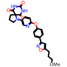 COCCCc1cc(-c2ccc(Oc3ccc(N4CCCC45C(=O)NC(=O)NC5=O)cn3)cc2)no1